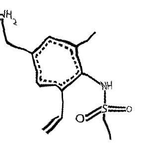 C=Cc1cc(CN)cc(C)c1NS(C)(=O)=O